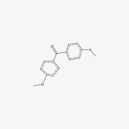 COc1ccc(C(=O)c2ccc(SC)cc2)cc1